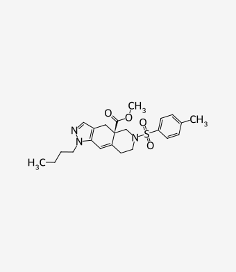 CCCCn1ncc2c1C=C1CCN(S(=O)(=O)c3ccc(C)cc3)C[C@@]1(C(=O)OC)C2